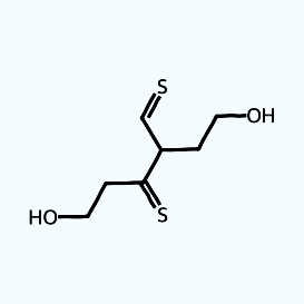 OCCC(=S)C(C=S)CCO